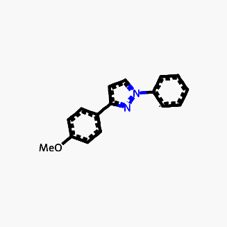 COc1ccc(-c2ccn(-c3[c]cccc3)n2)cc1